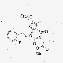 CCOC(=O)c1sc2c(c1C)c(=O)n(CC(=O)OC(C)(C)C)c(=O)n2CCc1ccccc1F